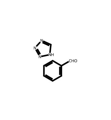 O=Cc1ccccc1.c1nnn[nH]1